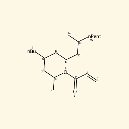 C=CC(=O)OC(C)CC(CCCC)CCCC(C)CCCCC